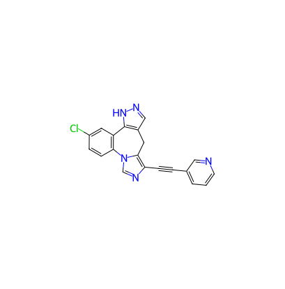 Clc1ccc2c(c1)-c1[nH]ncc1Cc1c(C#Cc3cccnc3)ncn1-2